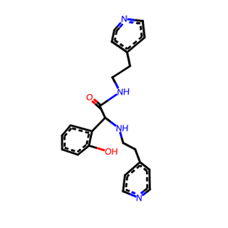 O=C(NCCc1ccncc1)C(NCCc1ccncc1)c1ccccc1O